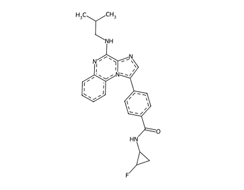 CC(C)CNc1nc2ccccc2n2c(-c3ccc(C(=O)NC4CC4F)cc3)cnc12